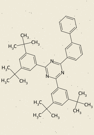 CC(C)(C)c1cc(-c2nc(-c3cccc(-c4ccccc4)c3)nc(-c3cc(C(C)(C)C)cc(C(C)(C)C)c3)n2)cc(C(C)(C)C)c1